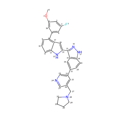 COc1cc(F)cc(-c2cccc3[nH]c(-c4n[nH]c5ccc(-c6cncc(CN7CCCC7)c6)cc45)cc23)c1